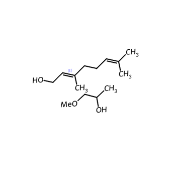 CC(C)=CCC/C(C)=C/CO.COCC(C)O